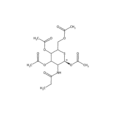 CCC(=O)NC1C(OC(C)=O)C(OC(C)=O)C(COC(C)=O)S[C@H]1OC(C)=O